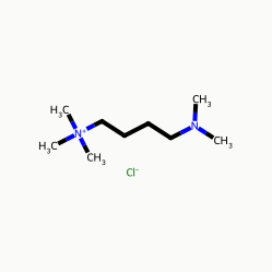 CN(C)CCCC[N+](C)(C)C.[Cl-]